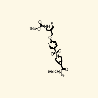 CCN(OC)C(=O)C1C2CN(S(=O)(=O)c3ccc(OCC(=CF)CNC(=O)OC(C)(C)C)nc3)CC21